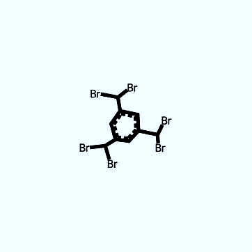 BrC(Br)c1cc(C(Br)Br)cc(C(Br)Br)c1